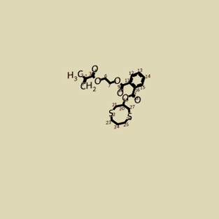 C=C(C)C(=O)OCCOC(=O)c1ccccc1C(=O)OC1CSCCCSC1